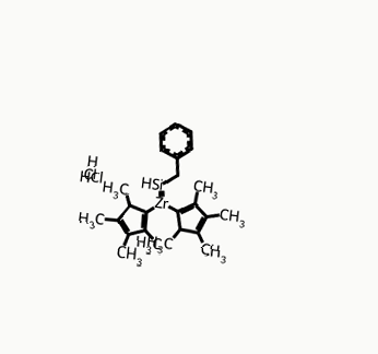 CC1=C(C)C(C)[C]([Zr](=[SiH]Cc2ccccc2)[C]2=C(C)C(C)=C(C)C2C)=C1C.Cl.Cl